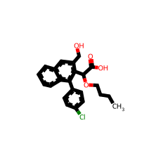 CCCCOC(C(=O)O)c1c(CO)cc2ccccc2c1-c1ccc(Cl)cc1